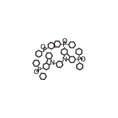 O=P(c1ccccc1)(c1ccccc1)c1ccc2c(c1)c1cc(P(=O)(c3ccccc3)c3ccccc3)ccc1n2-c1cccc(-n2c3ccc(P(=O)(c4ccccc4)c4ccccc4)cc3c3cc(P(=O)(c4ccccc4)c4ccccc4)ccc32)c1